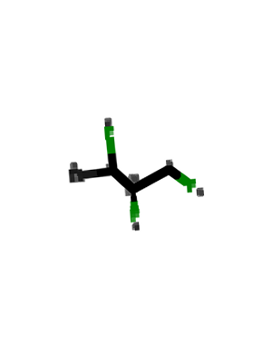 [CH2]CC(F)[C@@H](F)CF